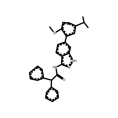 COc1ccc(C(C)C)cc1-c1ccc2c(NC(=O)C(c3ccccc3)c3ccccc3)n[nH]c2c1